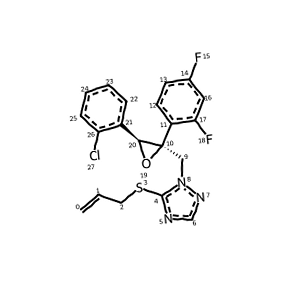 C=CCSc1ncnn1C[C@]1(c2ccc(F)cc2F)O[C@H]1c1ccccc1Cl